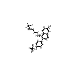 CC(C)(C)NCCCNc1c(-c2ccc(OC(F)(F)F)cc2)cnc2cc(Cl)ccc12